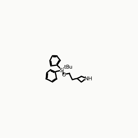 CC(C)(C)[Si](OCCC1CNC1)(c1ccccc1)c1ccccc1